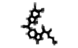 CN(CCO)C(=O)c1n[nH]c2c1CN(C(=O)c1cc3cc(F)c(Cl)cc3[nH]1)CC2